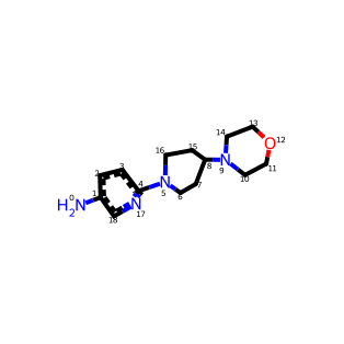 Nc1ccc(N2CCC(N3CCOCC3)CC2)nc1